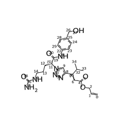 C=CCOC(=O)C[C@@H](c1cn([C@@H](CCCNC(N)=O)C(=O)Nc2ccc(CO)cc2)nn1)C(C)C